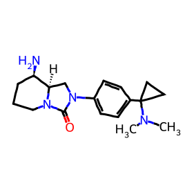 CN(C)C1(c2ccc(N3C[C@@H]4[C@H](N)CCCN4C3=O)cc2)CC1